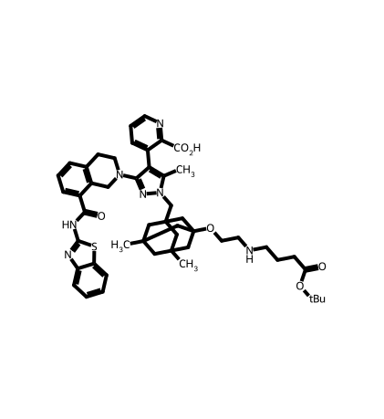 Cc1c(-c2cccnc2C(=O)O)c(N2CCc3cccc(C(=O)Nc4nc5ccccc5s4)c3C2)nn1CC12CC3(C)CC(C)(C1)CC(OCCNCCCC(=O)OC(C)(C)C)(C3)C2